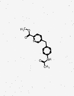 COC(=O)c1ccc(Cc2ccc(NC(C)=O)cc2)cn1